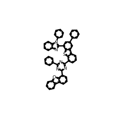 c1ccc(-c2cc(-c3nc4ccccc4n3-c3ccccc3)c3sc4c(-c5nc(-c6ccccc6)nc(-c6cccc7c6oc6ccccc67)n5)cccc4c3c2)cc1